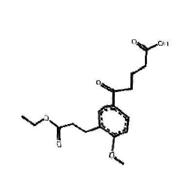 CCOC(=O)CCc1cc(C(=O)CCCC(=O)O)ccc1OC